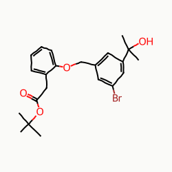 CC(C)(C)OC(=O)Cc1ccccc1OCc1cc(Br)cc(C(C)(C)O)c1